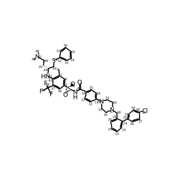 Cc1cc(S(=O)(=O)NC(=O)c2ccc(N3CCN(Cc4ccccc4-c4ccc(Cl)cc4)CC3)cc2)cc(C(F)(F)F)c1N[C@H](CCN(C)C)CSc1ccccc1